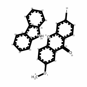 COc1ccc2oc3cc(I)ccc3c(=O)c2c1.c1ccc2c(c1)[nH]c1ccccc12